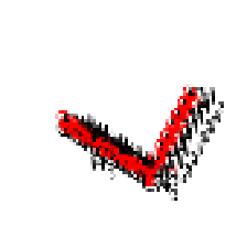 CCOC(=O)CCO.CCOC(C)=O.CCOC(C)=O.CCOC(C)=O.CCOC(C)=O.CCOC(C)=O.CCOC(C)=O.CCOC(C)=O.CCOC(C)=O.CCOC(C)=O.CCOC(C)=O.CCOC(C)=O.CCOC(C)=O.CCOC(C)=O.CCOC(C)=O.CCOC(C)=O.CCOC(C)=O.CCOC(C)=O.CCOC(C)=O.CCOC(C)=O.CCOC(C)=O